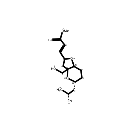 COC(=O)/C=C/C1CC2(CO)O[C@@H](C[C@@H](C)C#N)CCC2O1